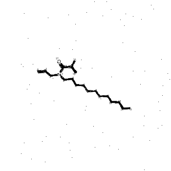 C=CCN(CCCCCCCCCCCC)C(=O)C(=C)C